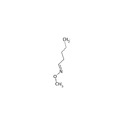 [CH2]CCCC=NOC